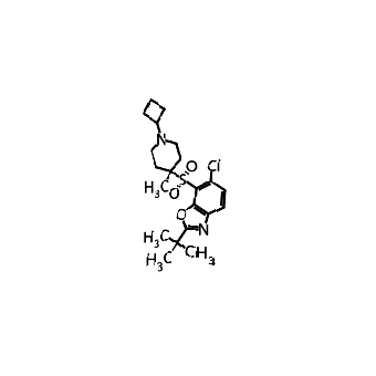 CC(C)(C)c1nc2ccc(Cl)c(S(=O)(=O)C3(C)CCN(C4CCC4)CC3)c2o1